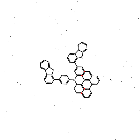 C1=CCC(N(c2ccc(-c3cccc4c3sc3ccccc34)cc2)c2cccc(-c3cccc4c3oc3ccccc34)c2)C(c2cccc3cccc(-c4ccccc4)c23)=C1